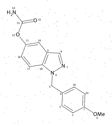 COc1ccc(Cn2ncc3cc(OC(N)=O)ccc32)cc1